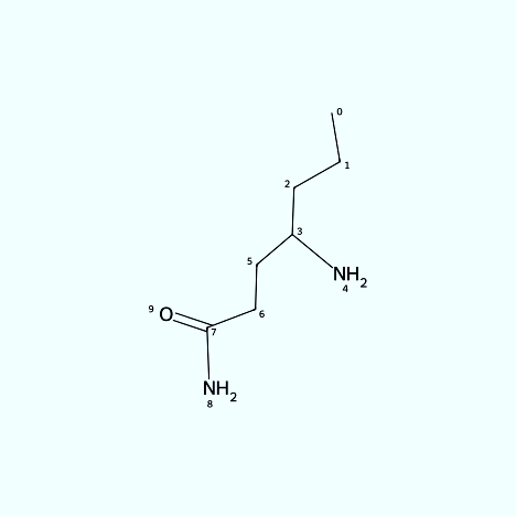 CCCC(N)CCC(N)=O